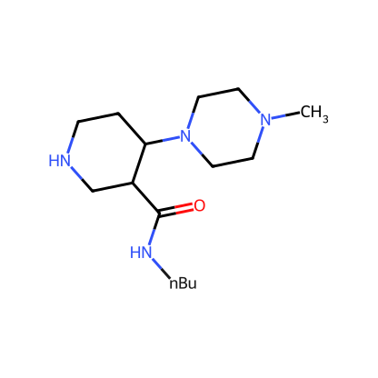 CCCCNC(=O)C1CNCCC1N1CCN(C)CC1